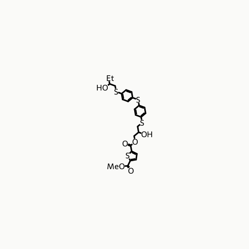 CCC(O)CSc1ccc(Sc2ccc(SCC(O)COC(=O)c3ccc(C(=O)OC)s3)cc2)cc1